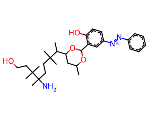 CC1CC(C(C)C(C)(C)CCC(C)(N)C(C)(C)CCO)OC(c2cc(/N=N/c3ccccc3)ccc2O)O1